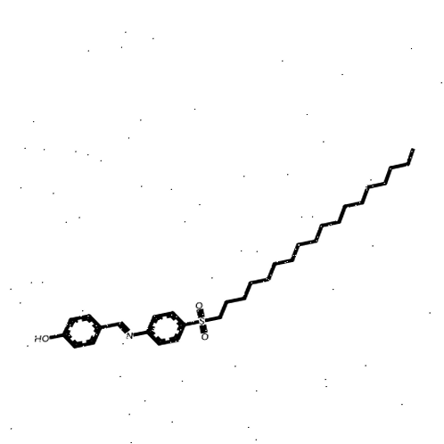 CCCCCCCCCCCCCCCCCCS(=O)(=O)c1ccc(N=Cc2ccc(O)cc2)cc1